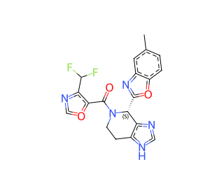 Cc1ccc2oc([C@@H]3c4nc[nH]c4CCN3C(=O)c3ocnc3C(F)F)nc2c1